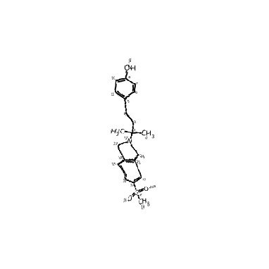 CC(C)(CCc1ccc(O)cc1)N1Cc2ccc(S(C)(=O)=O)cc2C1